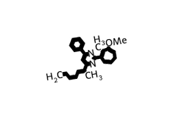 C=C/C=C\C=C(/C)c1cc(-c2ccccc2)nc(C2=C(C)C(OC)=CCC=C2)n1